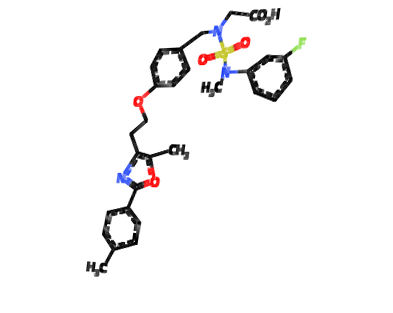 Cc1ccc(-c2nc(CCOc3ccc(CN(CC(=O)O)S(=O)(=O)N(C)c4cccc(F)c4)cc3)c(C)o2)cc1